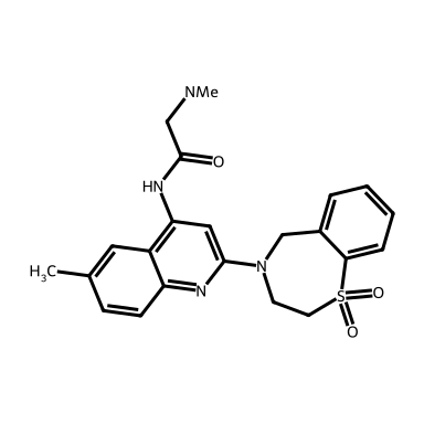 CNCC(=O)Nc1cc(N2CCS(=O)(=O)c3ccccc3C2)nc2ccc(C)cc12